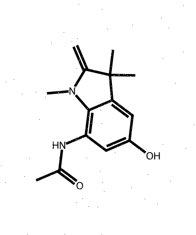 C=C1N(C)c2c(NC(C)=O)cc(O)cc2C1(C)C